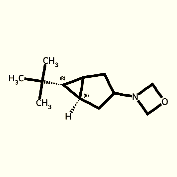 CC(C)(C)[C@@H]1C2CC(N3COC3)C[C@H]21